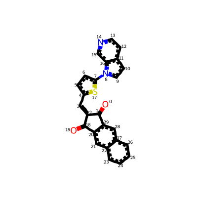 O=C1C(=Cc2ccc(-n3ccc4ccncc43)s2)C(=O)c2cc3ccccc3cc21